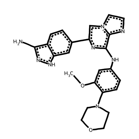 COc1cc(Nc2nc(-c3ccc4c(N)n[nH]c4c3)cn3ccnc23)ccc1N1CCOCC1